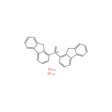 C[O-].C[O-].[CH2]=[Ti+2]([c]1cccc2c1Cc1ccccc1-2)[c]1cccc2c1Cc1ccccc1-2